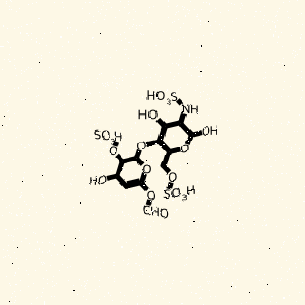 O=COC1=CC(O)C(OS(=O)(=O)O)C(OC2C(COS(=O)(=O)O)OC(O)C(NS(=O)(=O)O)C2O)O1